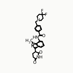 Cn1nc(C2CCC(=O)NC2=O)c2cccc(NC(=O)c3ccc(CN4CCC(F)(F)CC4)cc3)c21